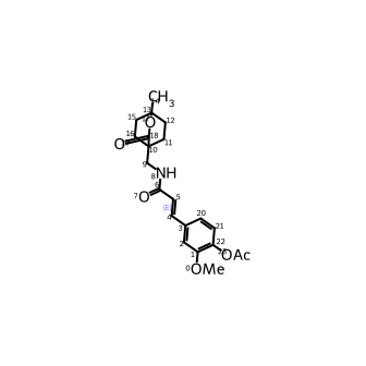 COc1cc(/C=C/C(=O)NCC23CCC(C)(CC2)OC3=O)ccc1OC(C)=O